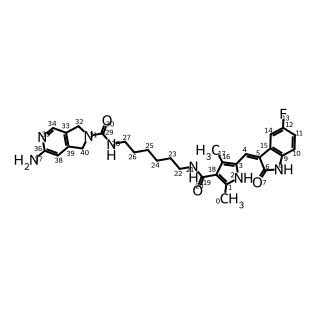 Cc1[nH]c(C=C2C(=O)Nc3ccc(F)cc32)c(C)c1C(=O)NCCCCCCNC(=O)N1Cc2cnc(N)cc2C1